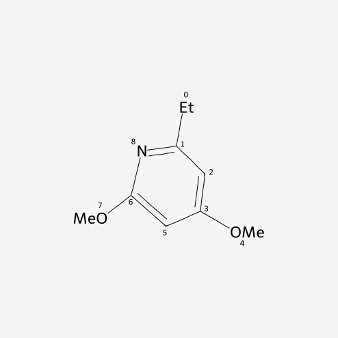 [CH2]Cc1cc(OC)cc(OC)n1